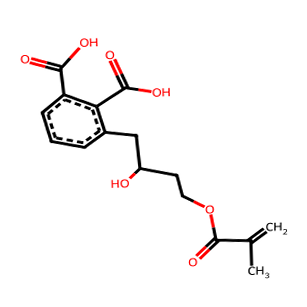 C=C(C)C(=O)OCCC(O)Cc1cccc(C(=O)O)c1C(=O)O